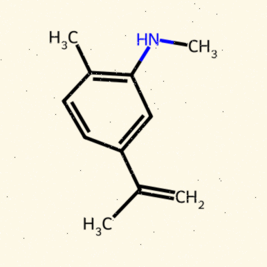 C=C(C)c1ccc(C)c(NC)c1